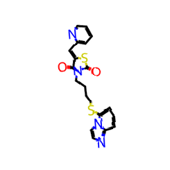 O=C1SC(=Cc2ccccn2)C(=O)N1CCCCSc1cccc2nccn12